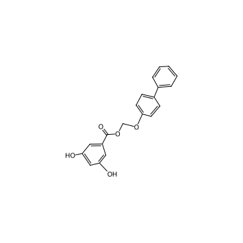 O=C(OCOc1ccc(-c2ccccc2)cc1)c1cc(O)cc(O)c1